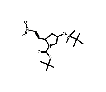 CC(C)(C)OC(=O)N1CC(O[Si](C)(C)C(C)(C)C)CC1/C=C/[N+](=O)[O-]